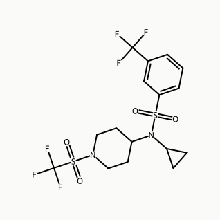 O=S(=O)(c1cccc(C(F)(F)F)c1)N(C1CC1)C1CCN(S(=O)(=O)C(F)(F)F)CC1